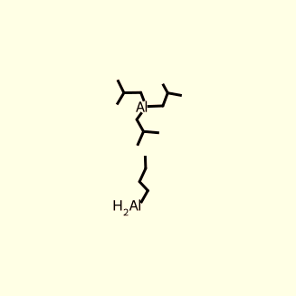 CC(C)[CH2][Al]([CH2]C(C)C)[CH2]C(C)C.CCC[CH2][AlH2]